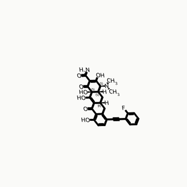 CN(C)[C@@H]1C(O)=C(C(N)=O)C(=O)[C@@]2(O)C(O)=C3C(=O)c4c(O)ccc(C#Cc5ccccc5F)c4C[C@H]3C[C@@H]12